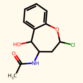 CC(=O)NC1CC(Cl)Oc2ccccc2C1O